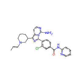 CC=CN1CCCC(c2nc(-c3ccc(C(=O)Nc4ccccn4)cc3Cl)n3c(N)nccc23)C1